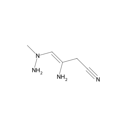 CN(N)/C=C(\N)CC#N